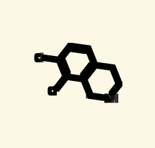 Clc1ccc2c(c1Cl)[C]NCC2